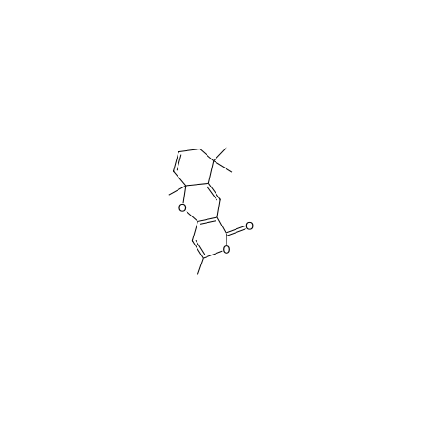 Cc1cc2c(c(=O)o1)C=C1C(C)(C)CC=CC1(C)O2